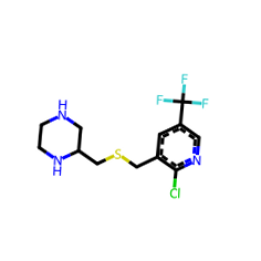 FC(F)(F)c1cnc(Cl)c(CSCC2CNCCN2)c1